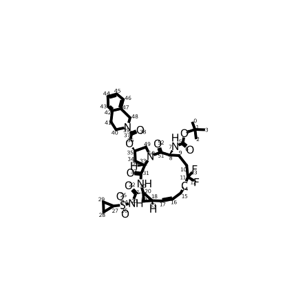 CC(C)(C)OC(=O)N[C@H]1CCC(F)(F)CC/C=C\[C@@H]2C[C@@]2(C(=O)NS(=O)(=O)C2CC2)NC(=O)[C@@H]2C[C@@H](OC(=O)N3CCc4ccccc4C3)CN2C1=O